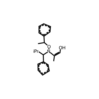 C/C(=C/O)N(OC(C)c1ccccc1)C(c1ccccc1)C(C)C